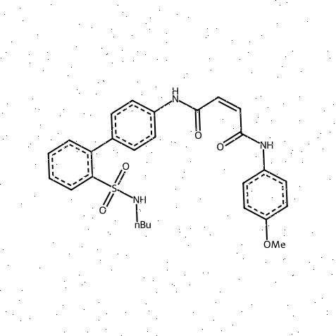 CCCCNS(=O)(=O)c1ccccc1-c1ccc(NC(=O)/C=C\C(=O)Nc2ccc(OC)cc2)cc1